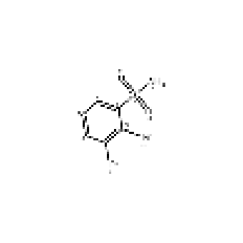 CC(C)c1cccc(S(N)(=O)=O)c1C(C)C